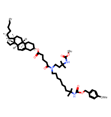 COc1ccc(COC(=O)NC(C)(C)CCCCCCCN(CCC(C)(C)NC(=O)OC(C)(C)C)C(=O)CCCC(=O)O[C@H]2CC[C@@]3(C)C(=CC[C@H]4[C@@H]5CC[C@H]([C@H](C)CCCC(C)C)[C@@]5(C)CC[C@@H]43)C2)cc1